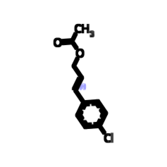 CC(=O)OC/C=C/c1ccc(Cl)cc1